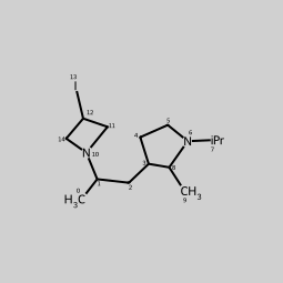 CC(CC1CCN(C(C)C)C1C)N1CC(I)C1